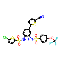 N#Cc1ccc(-c2ccc(NS(=O)(=O)c3ccc(Cl)s3)c(NS(=O)(=O)c3ccc(OC(F)(F)F)cc3)c2)s1